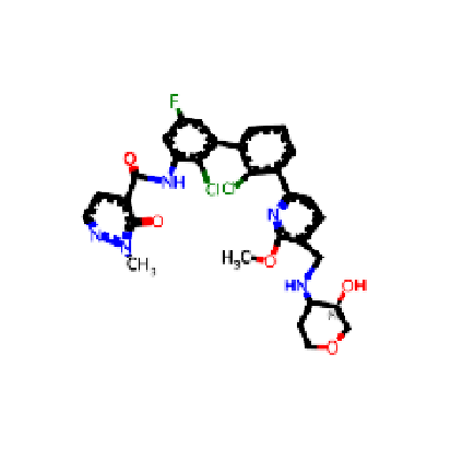 COc1nc(-c2cccc(-c3cc(F)cc(NC(=O)c4ccnn(C)c4=O)c3Cl)c2Cl)ccc1CNC1CCOC[C@@H]1O